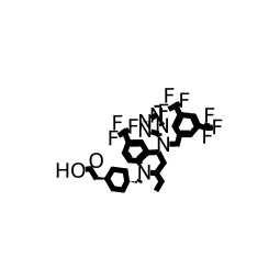 CCC1CC(N(Cc2cc(C(F)(F)F)cc(C(F)(F)F)c2)c2nnn(C)n2)c2cc(C(F)(F)F)ccc2N1C[C@H]1CC[C@H](CC(=O)O)CC1